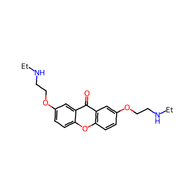 CCNCCOc1ccc2oc3ccc(OCCNCC)cc3c(=O)c2c1